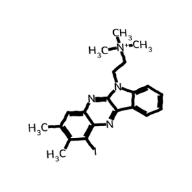 Cc1cc2nc3c(nc2c(I)c1C)c1ccccc1n3CC[N+](C)(C)C